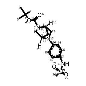 CC(C)(C)OC(=O)N1C[C@@H]2C[C@H]1CN2c1ccc(NS(C)(=O)=O)cc1